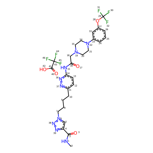 CNC(=O)c1cn(CCCCc2ccc(NC(=O)CN3CCN(c4cccc(OC(F)(F)F)c4)CC3)nn2)nn1.O=C(O)C(F)(F)F